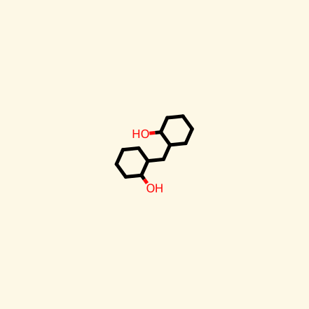 OC1CCCCC1CC1CCCCC1O